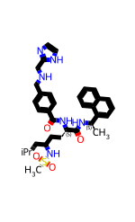 CC(C)CC(CC[C@H](NC(=O)c1ccc(CNCc2ncc[nH]2)cc1)C(=O)N[C@@H](C)c1cccc2ccccc12)NS(C)(=O)=O